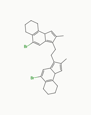 CC1=CC2C(=C1CCC1=C3C=C(Br)C4=C(CCCC4)C3C=C1C)C=C(Br)C1=C2CCCC1